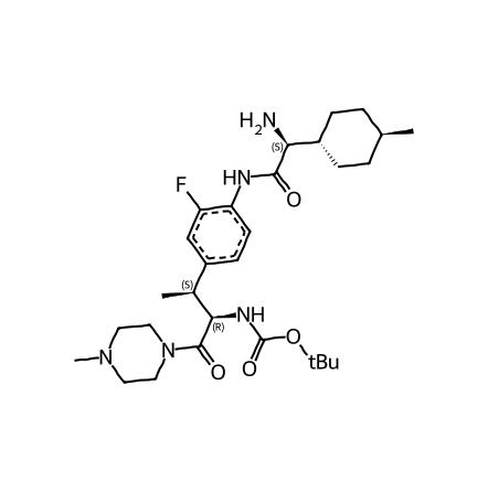 C[C@@H](c1ccc(NC(=O)[C@@H](N)[C@H]2CC[C@H](C)CC2)c(F)c1)[C@@H](NC(=O)OC(C)(C)C)C(=O)N1CCN(C)CC1